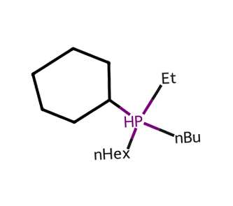 CCCCCC[PH](CC)(CCCC)C1CCCCC1